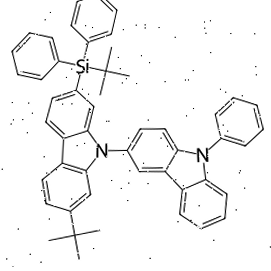 CC(C)(C)c1ccc2c3ccc([Si](c4ccccc4)(c4ccccc4)C(C)(C)C)cc3n(-c3ccc4c(c3)c3ccccc3n4-c3ccccc3)c2c1